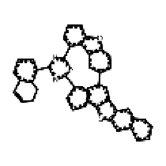 C1=Cc2cccc(-c3nc(-c4ccccc4)nc(-c4cccc5oc6ccc(-c7ccc8sc9cc%10ccccc%10cc9c8c7)cc6c45)n3)c2CC1